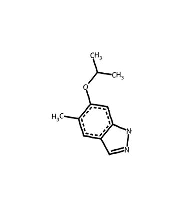 Cc1cc2c(cc1OC(C)C)[N]N=C2